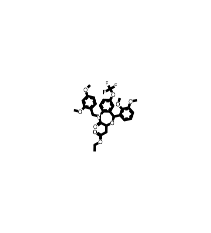 CCOC(=O)CC1OC(c2cccc(OC)c2OC)c2cc(OC(F)(F)F)ccc2N(Cc2ccc(OC)cc2OC)C1=O